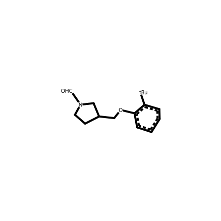 CC(C)(C)c1ccccc1OCC1CCN(C=O)C1